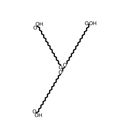 O=C(O)CCCCCCCCCCCCCCCCCCCCCOCC(COCCCCCCCCCCCCCCCCCCCCCC(=O)O)OCCCCCCCCCCCCCCCCCCCCCC(=O)O